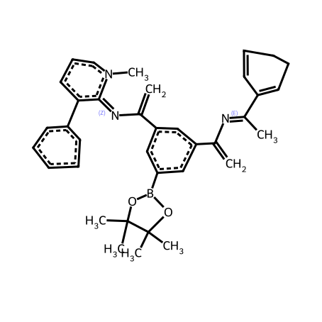 C=C(/N=c1/c(-c2ccccc2)cccn1C)c1cc(B2OC(C)(C)C(C)(C)O2)cc(C(=C)/N=C(\C)C2=CCCC=C2)c1